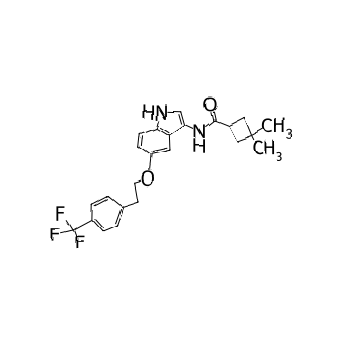 CC1(C)CC(C(=O)Nc2c[nH]c3ccc(OCCc4ccc(C(F)(F)F)cc4)cc23)C1